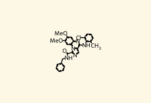 COc1cc2nc(Nc3c(C)cccc3Cl)c3cnc(C(=O)NCc4ccccc4)n3c2cc1OC